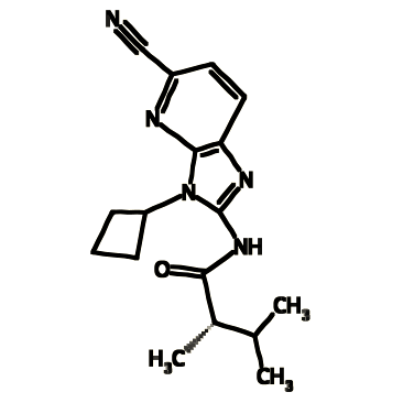 CC(C)[C@H](C)C(=O)Nc1nc2ccc(C#N)nc2n1C1CCC1